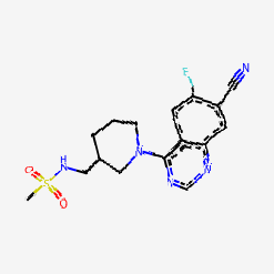 CS(=O)(=O)NCC1CCCN(c2ncnc3cc(C#N)c(F)cc23)C1